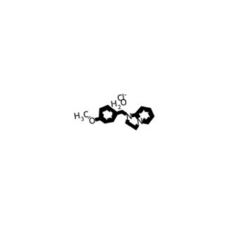 COc1ccc(CN2CC[n+]3ccccc32)cc1.O.[Cl-]